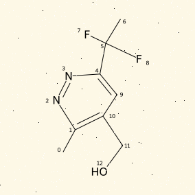 Cc1nnc(C(C)(F)F)cc1CO